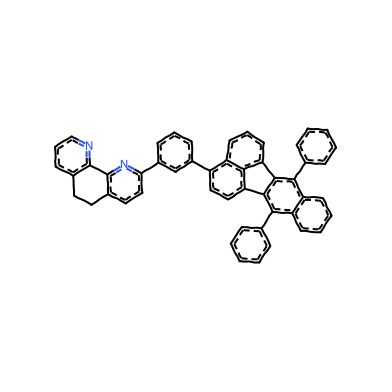 c1ccc(-c2c3c(c(-c4ccccc4)c4ccccc24)-c2ccc(-c4cccc(-c5ccc6c(n5)-c5ncccc5CC6)c4)c4cccc-3c24)cc1